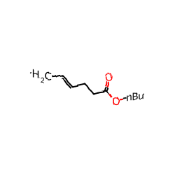 [CH2]C=CCCC(=O)OCCCC